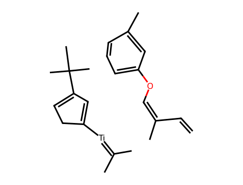 C=CC(C)=COc1cccc(C)c1.C[C](C)=[Ti][C]1=CC(C(C)(C)C)=CC1